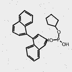 OP(O)OC1CCCC1.c1ccc2c(-c3cccc4ccccc34)cccc2c1